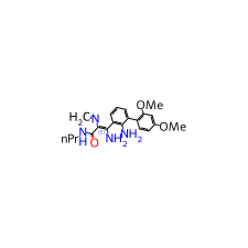 C=N/C(C(=O)NCCC)=C(/N)c1cccc(-c2ccc(OC)cc2OC)c1N